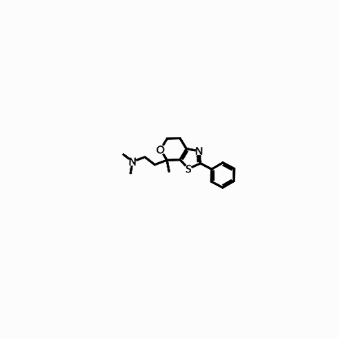 CN(C)CCC1(C)OCCc2nc(-c3ccccc3)sc21